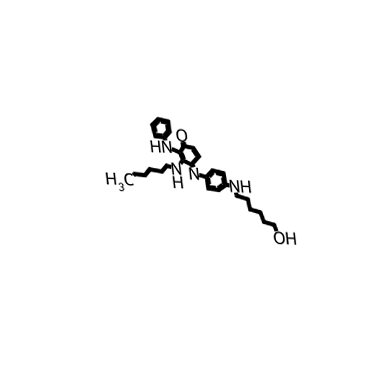 CCCCCCNC1=C(Nc2ccccc2)C(=O)C=CC1=Nc1ccc(NCCCCCCO)cc1